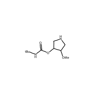 COC1CNCC1OC(=O)NC(C)(C)C